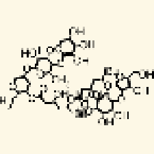 CC[C@H](C)[C@H](C[C@H](O)CC(=O)O[C@@H]1C[C@@H](O[C@@H]2O[C@@H](C)[C@H](OC3=C(O)[C@@H](O)[C@H](O)CO3)[C@@H](O)[C@H]2O)CO[C@@H]1C)OC(=O)C[C@@H](O)C[C@H](O[C@@H]1O[C@@H](CO)[C@H](O)[C@H]1O[C@@H]1O[C@@H](C)[C@H](O)[C@@H](O)[C@H]1O)[C@@H](C)CC